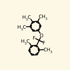 Cc1cc(OC(F)(F)c2c(C)cccc2C)cc(C)c1C